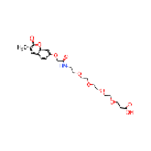 Cc1cc2ccc(OCC(=O)NCCOCCOCCOCCOCCC(=O)O)cc2oc1=O